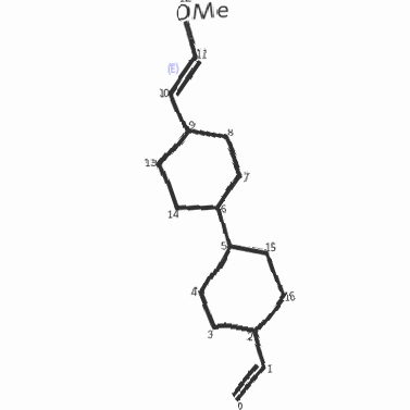 C=CC1CCC(C2CCC(/C=C/OC)CC2)CC1